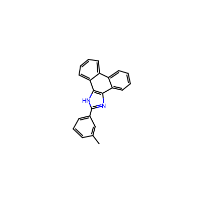 Cc1cccc(-c2nc3c4ccccc4c4ccccc4c3[nH]2)c1